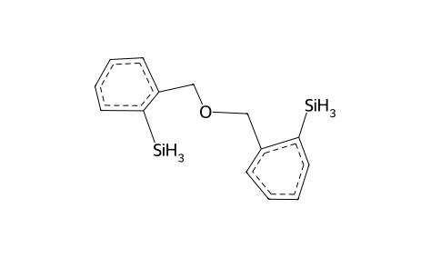 [SiH3]c1ccccc1COCc1ccccc1[SiH3]